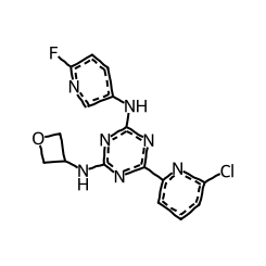 Fc1ccc(Nc2nc(NC3COC3)nc(-c3cccc(Cl)n3)n2)cn1